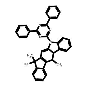 CC1C2=C(C=C3C1c1ccccc1N3c1nc(-c3ccccc3)nc(-c3ccccc3)n1)C(C)(C)c1ccccc12